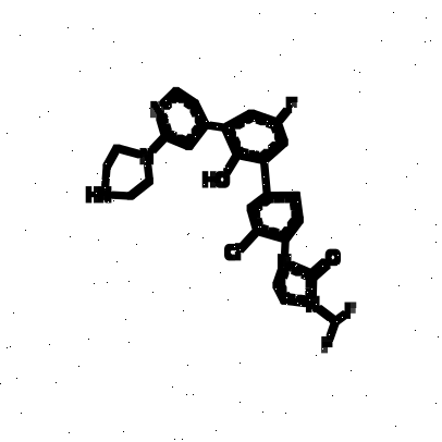 O=c1n(-c2ccc(-c3cc(F)cc(-c4ccnc(N5CCNCC5)c4)c3O)cc2Cl)ccn1C(F)F